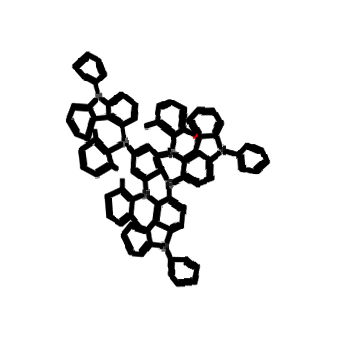 Cc1cccc(C)c1N(c1cc2c3c(c1)N(c1c(C)cccc1C)c1c(ccc4c1c1ccccc1n4-c1ccccc1)B3c1ccc3c(c1N2c1c(C)cccc1C)c1ccccc1n3-c1ccccc1)c1cccc2c1c1ccccc1n2-c1ccccc1